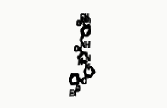 CCOc1ccccc1O[C@@H]1CCCN(c2ncc(C(=O)NCc3cccc(S(C)(=O)=O)c3)cn2)C1